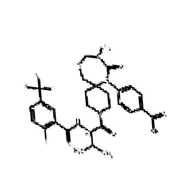 CC(C)[C@@H](NC(=O)c1cc(C(F)(F)F)ccc1F)C(=O)N1CCC2(CC1)COCN(C)C(=O)N2c1ccc(C(=O)O)cc1